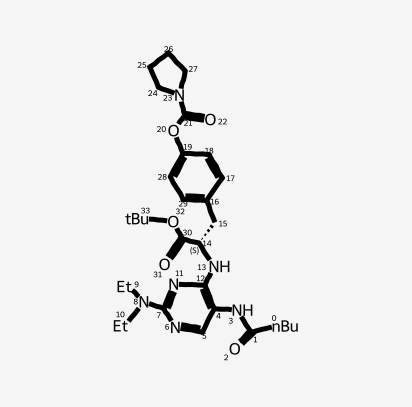 CCCCC(=O)Nc1cnc(N(CC)CC)nc1N[C@@H](Cc1ccc(OC(=O)N2CCCC2)cc1)C(=O)OC(C)(C)C